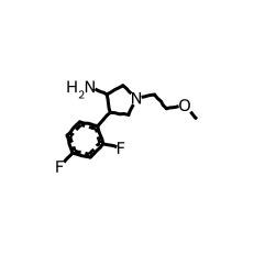 COCCN1CC(N)C(c2ccc(F)cc2F)C1